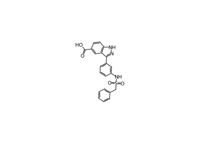 O=C(O)c1ccc2[nH]nc(-c3cccc(NS(=O)(=O)Cc4ccccc4)c3)c2c1